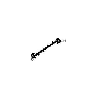 CC1=C(/C=C/C(C)=C/C=C/C(C)=C/C=C/C=C(C)/C=C/C=C(C)/C=C/C23OC(CC2(C)C)C(=O)C3C)C(C)(C)CC(O)C1